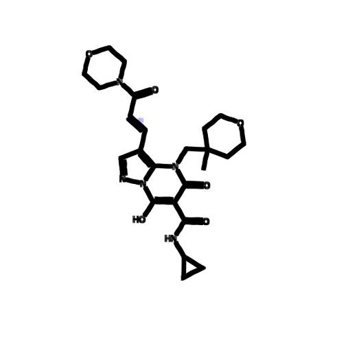 CC1(Cn2c(=O)c(C(=O)NC3CC3)c(O)n3ncc(/C=C/C(=O)N4CCOCC4)c23)CCOCC1